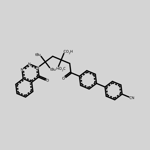 CC(C)(C)C(CC(CC(=O)c1ccc(-c2ccc(C#N)cc2)cc1)(C(=O)O)C(=O)O)(n1nnc2ccccc2c1=O)C(C)(C)C